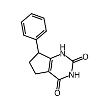 O=c1[nH]c2c(c(=O)[nH]1)CCC2c1ccccc1